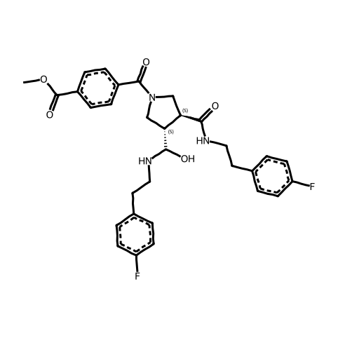 COC(=O)c1ccc(C(=O)N2C[C@@H](C(=O)NCCc3ccc(F)cc3)[C@H](C(O)NCCc3ccc(F)cc3)C2)cc1